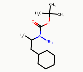 CC(CC1CCCCC1)N(N)C(=O)OC(C)(C)C